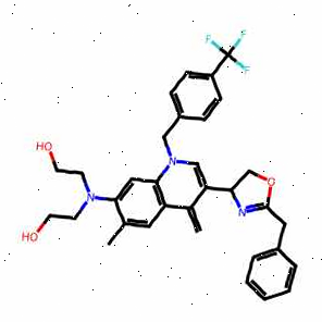 C=C1C(C2COC(Cc3ccccc3)=N2)=CN(Cc2ccc(C(F)(F)F)cc2)c2cc(N(CCO)CCO)c(C)cc21